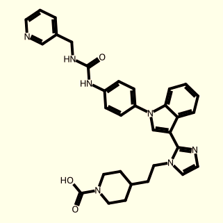 O=C(NCc1cccnc1)Nc1ccc(-n2cc(-c3nccn3CCC3CCN(C(=O)O)CC3)c3ccccc32)cc1